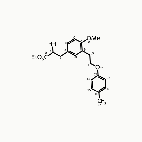 CCOC(=O)C(CC)Cc1ccc(OC)c(CCOc2ccc(C(F)(F)F)cc2)c1